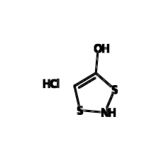 Cl.OC1=CSNS1